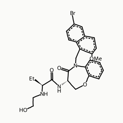 CC[C@H](NCCO)C(=O)N[C@H]1COc2ccccc2N(Cc2c(OC)ccc3cc(Br)ccc23)C1=O